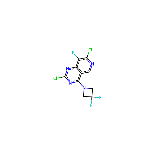 Fc1c(Cl)ncc2c(N3CC(F)(F)C3)nc(Cl)nc12